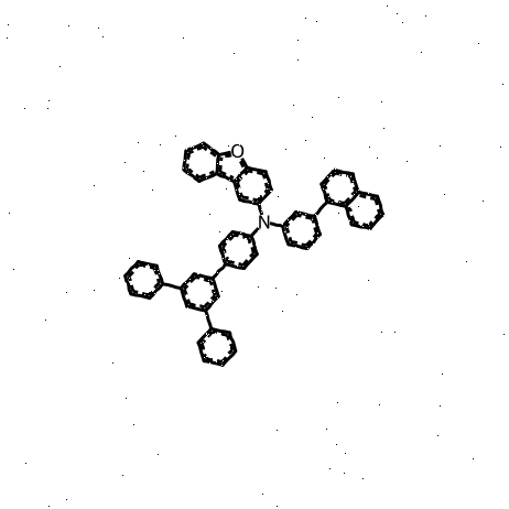 c1ccc(-c2cc(-c3ccccc3)cc(-c3ccc(N(c4cccc(-c5cccc6ccccc56)c4)c4ccc5oc6ccccc6c5c4)cc3)c2)cc1